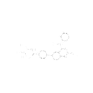 CC(NC(=O)c1ccc(-c2ccc3nc(N)nc(N(Br)c4ccccc4)c3c2)cc1)N(C)C